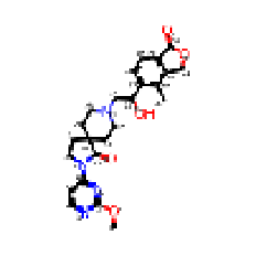 COc1nccc(N2CCC3(CCN(CC(O)c4ccc5c(c4C)COC5=O)CC3)C2=O)n1